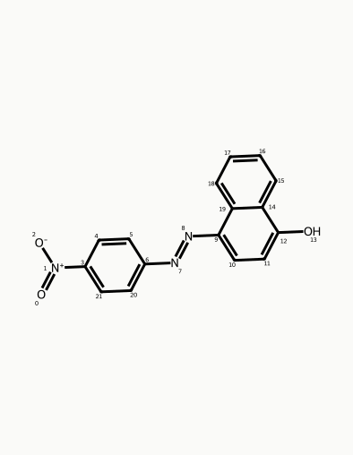 O=[N+]([O-])c1ccc(N=Nc2ccc(O)c3ccccc23)cc1